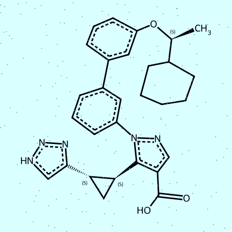 C[C@H](Oc1cccc(-c2cccc(-n3ncc(C(=O)O)c3[C@H]3C[C@@H]3c3c[nH]nn3)c2)c1)C1CCCCC1